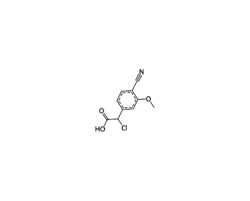 COc1cc(C(Cl)C(=O)O)ccc1C#N